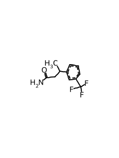 CC(CC(N)=O)c1cccc(C(F)(F)F)c1